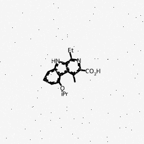 CCc1nc(C(=O)O)c(C)c2c1[nH]c1cccc(OC(C)C)c12